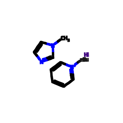 CCCC[n+]1ccccc1.Cn1ccnc1.I